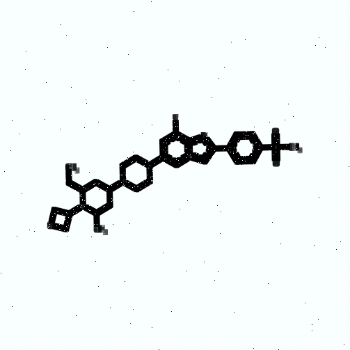 CCC1CC(N2CCC(c3cc(F)c4nc(-c5ccc(S(C)(=O)=O)cc5)cn4c3)CC2)CC(C)N1C1COC1